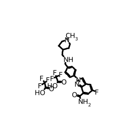 CN1CCC(CNCc2ccc(-n3cc4cc(F)cc(C(N)=O)c4n3)cc2)CC1.O=C(O)C(F)(F)F.O=C(O)C(F)(F)F